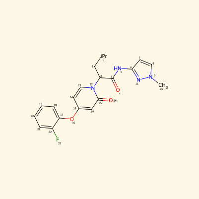 CC(C)CC(C(=O)Nc1ccn(C)n1)n1ccc(Oc2ccccc2F)cc1=O